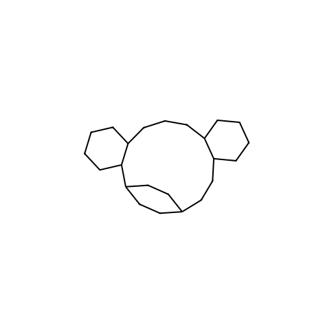 C1CCC2CCC3CCC(CC3)C3CCCCC3CCCC2C1